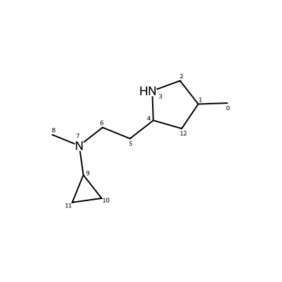 CC1CNC(CCN(C)C2CC2)C1